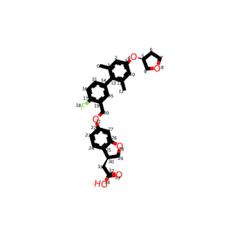 Cc1cc(O[C@@H]2CCOC2)cc(C)c1-c1ccc(F)c(COc2ccc3c(c2)OC[C@H]3CC(=O)O)c1